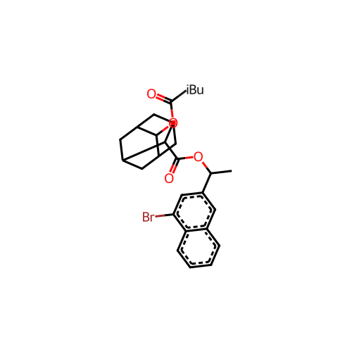 CCC(C)C(=O)OC1C2CC3CC1CC(C2)C3C(=O)OC(C)c1cc(Br)c2ccccc2c1